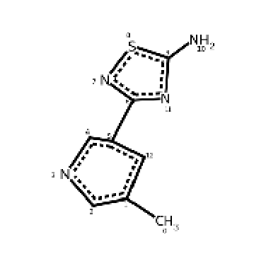 Cc1cncc(-c2nsc(N)n2)c1